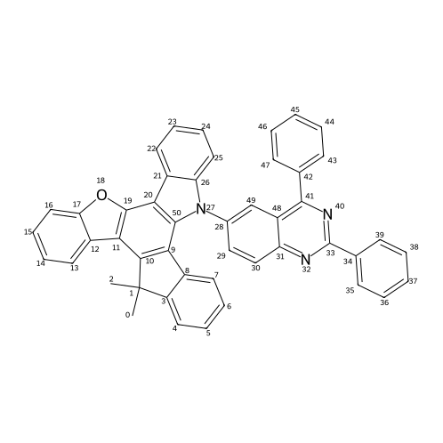 CC1(C)c2ccccc2-c2c1c1c3ccccc3oc1c1c3ccccc3n(-c3ccc4nc(-c5ccccc5)nc(-c5ccccc5)c4c3)c21